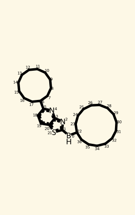 B(c1nc2nc(C3CCCCCCCCCCC3)ccc2s1)C1CCCCCCCCCCCCCC1